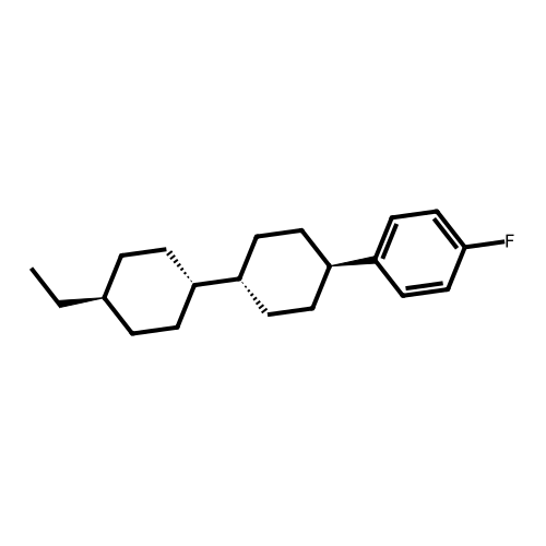 CC[C@H]1CC[C@H]([C@H]2CC[C@H](c3ccc(F)cc3)CC2)CC1